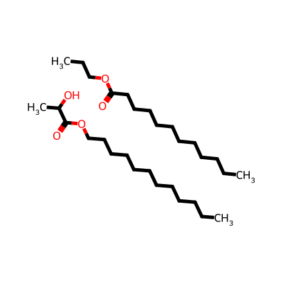 CCCCCCCCCCCC(=O)OCCC.CCCCCCCCCCCCOC(=O)C(C)O